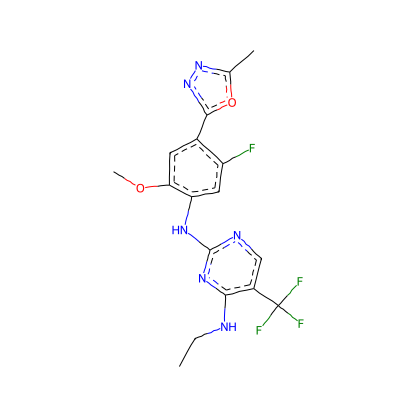 CCNc1nc(Nc2cc(F)c(-c3nnc(C)o3)cc2OC)ncc1C(F)(F)F